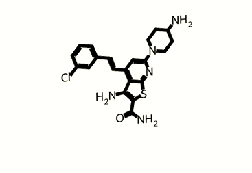 NC(=O)c1sc2nc(N3CCC(N)CC3)cc(C=Cc3cccc(Cl)c3)c2c1N